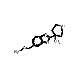 COCc1ccc2nc(C3(C)CCNCC3)oc2c1